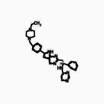 CCN1CCN(Cc2ccc(-c3cc4cnc(C[C@@H](Nc5ccncn5)c5ccccc5)nc4[nH]3)cc2)CC1